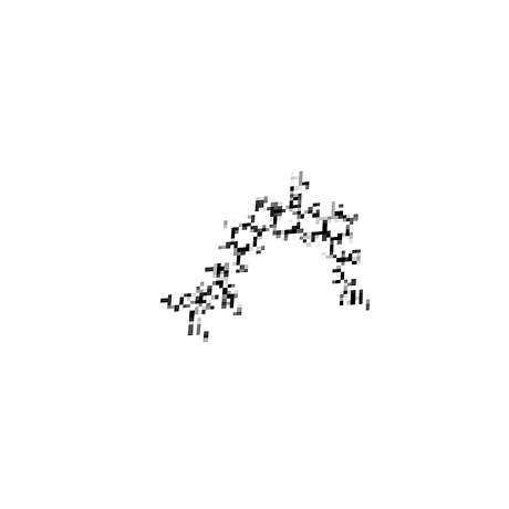 CCOC(=O)Cc1ccccc1O/C(=C/C(=C(/O)CC)c1cccc(CNC(=O)OC(C)(C)C)c1)C(C)C